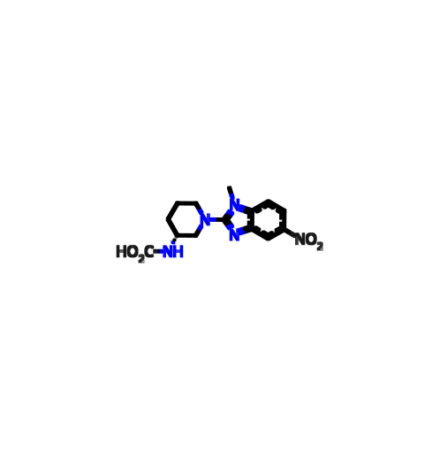 Cn1c(N2CCC[C@@H](NC(=O)O)C2)nc2cc([N+](=O)[O-])ccc21